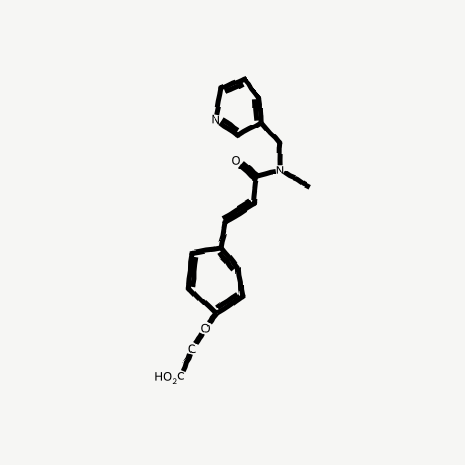 CN(Cc1cccnc1)C(=O)C=Cc1ccc(OCC(=O)O)cc1